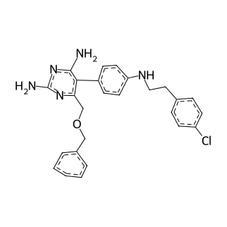 Nc1nc(N)c(-c2ccc(NCCc3ccc(Cl)cc3)cc2)c(COCc2ccccc2)n1